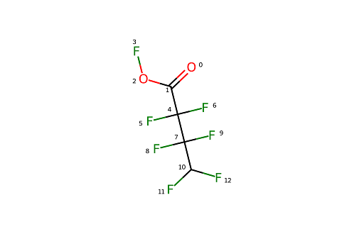 O=C(OF)C(F)(F)C(F)(F)C(F)F